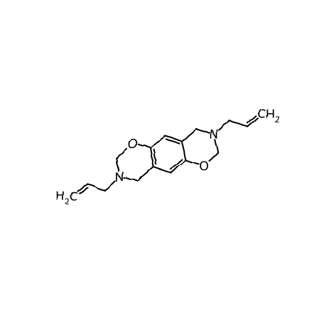 C=CCN1COc2cc3c(cc2C1)OCN(CC=C)C3